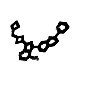 Nc1ncnn2c(C3CC(CN4CCC4)C3)nc(-c3ccc4ccc(-c5ccccn5)nc4c3)c12